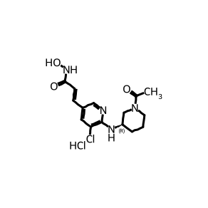 CC(=O)N1CCC[C@@H](Nc2ncc(C=CC(=O)NO)cc2Cl)C1.Cl